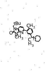 Cc1ccc([C@H](C)N2CCCCC2)cc1-c1ccc2c(n1)n(C)c(=O)n2CC(C)(C)C